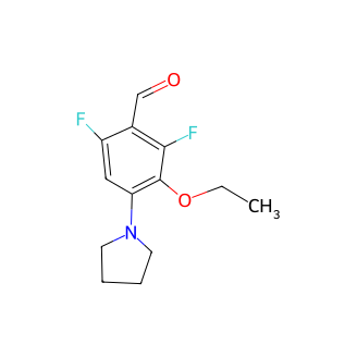 CCOc1c(N2CCCC2)cc(F)c(C=O)c1F